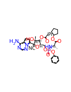 CC(C)C(=O)O[C@@H]1[C@@H](COP(=O)(N[C@@H](C)C(=O)OC2CCCC2)Oc2ccccc2)O[C@@](C#N)(c2ccc3c(N)ncnn23)[C@]1(C)O